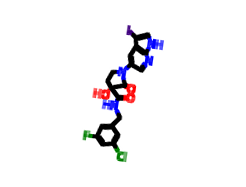 O=C(NCc1cc(F)cc(Cl)c1)[C@@]1(O)CCN(c2cnc3[nH]cc(I)c3c2)C1=O